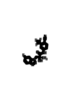 C[C@](O)(Cn1nnc2ccc(F)cc21)C(=O)Nc1ccc(C#N)c(C(F)(F)F)c1